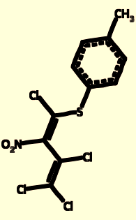 Cc1ccc(SC(Cl)=C(C(Cl)=C(Cl)Cl)[N+](=O)[O-])cc1